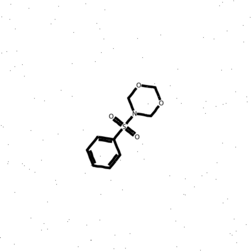 O=S(=O)(c1cc[c]cc1)N1COCOC1